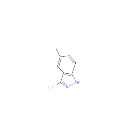 Bc1n[nH]c2ccc(C)cc12